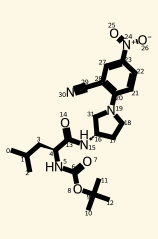 CC(C)C[C@H](NC(=O)OC(C)(C)C)C(=O)N[C@H]1CCN(c2ccc([N+](=O)[O-])cc2C#N)C1